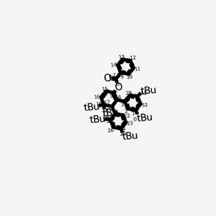 CC(C)(C)c1cc(C2=C(OC(=O)c3ccccc3)C=CC(C(C)(C)C)(C(C)(C)C)C2c2ccc(C(C)(C)C)cc2C(C)(C)C)cc(C(C)(C)C)c1